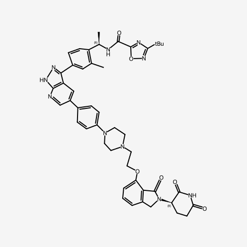 Cc1cc(-c2n[nH]c3ncc(-c4ccc(N5CCN(CCOc6cccc7c6C(=O)N([C@@H]6CCC(=O)NC6=O)C7)CC5)cc4)cc23)ccc1[C@@H](C)NC(=O)c1nc(C(C)(C)C)no1